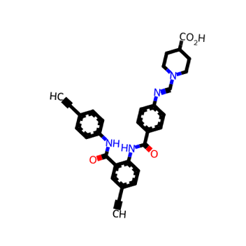 C#Cc1ccc(NC(=O)c2cc(C#C)ccc2NC(=O)c2ccc(N=CN3CCC(C(=O)O)CC3)cc2)cc1